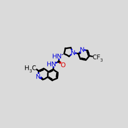 Cc1cc2c(NC(=O)N[C@@H]3CCN(c4ccc(C(F)(F)F)cn4)C3)cccc2cn1